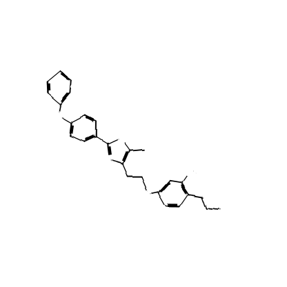 CCOC(=O)CCc1ccc(OCCc2nc(-c3ccc(Oc4ccccc4)cc3)oc2C)cc1C#N